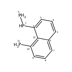 PPc1cccc2cccc(P)c12